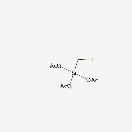 CC(=O)O[Si](CF)(OC(C)=O)OC(C)=O